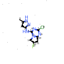 Cc1cc(Nc2nc(Cl)nc3cc(F)cn23)n[nH]1